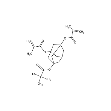 C=C(C)C(=O)OC12CC3CC(OC(=O)C(=C)C)(C1)CC(OC(=O)C(C)(C)CC)(C3)C2